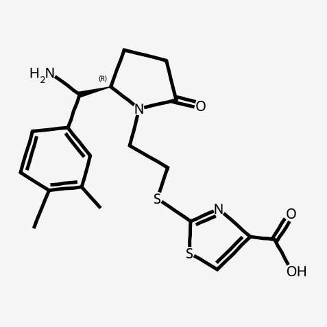 Cc1ccc(C(N)[C@H]2CCC(=O)N2CCSc2nc(C(=O)O)cs2)cc1C